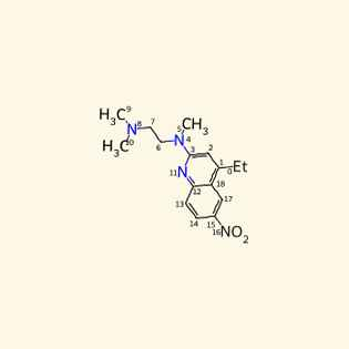 CCc1cc(N(C)CCN(C)C)nc2ccc([N+](=O)[O-])cc12